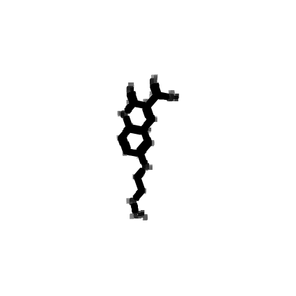 COCCOc1ccc2oc(=O)c(C(=O)O)cc2c1